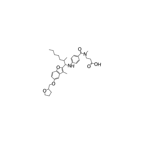 CCCCCC(C)C(Nc1ccc(C(=O)N(C)CCC(=O)O)cc1)c1oc2ccc(OCC3CCCO3)cc2c1C